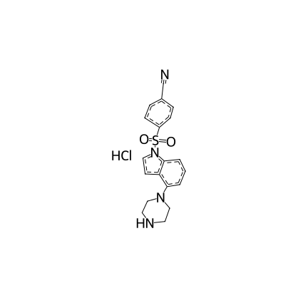 Cl.N#Cc1ccc(S(=O)(=O)n2ccc3c(N4CCNCC4)cccc32)cc1